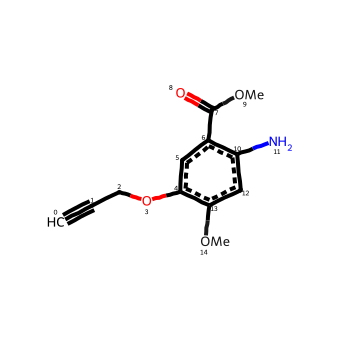 C#CCOc1cc(C(=O)OC)c(N)cc1OC